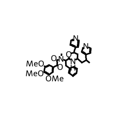 COc1cc(C(=O)C(=O)N(C)C(Cc2ccccc2)C(=O)NC(CC(C)c2ccncc2)CC(C)c2ccncc2)cc(OC)c1OC